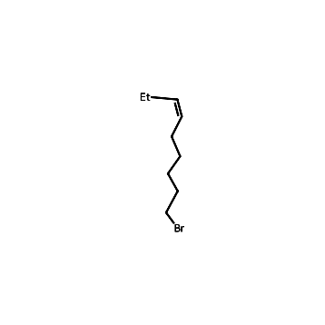 CC/C=C\CCCCCBr